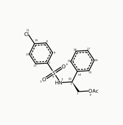 CC(=O)OC[C@@H](NS(=O)(=O)c1ccc(Cl)cc1)c1ccccc1